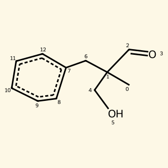 CC(C=O)(CO)Cc1ccccc1